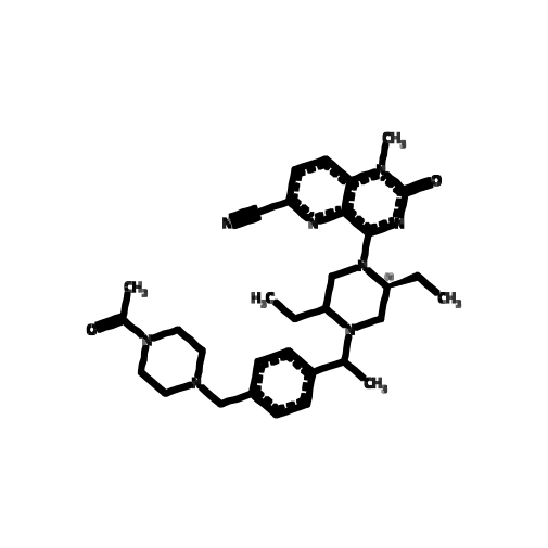 CCC1CN(c2nc(=O)n(C)c3ccc(C#N)nc23)[C@@H](CC)CN1C(C)c1ccc(CN2CCN(C(C)=O)CC2)cc1